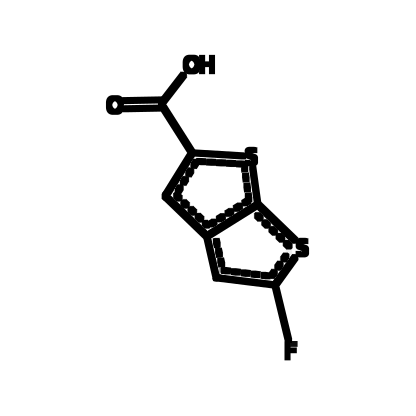 O=C(O)c1cc2cc(F)sc2s1